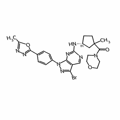 Cc1nnc(-c2ccc(-n3nc(Br)c4cnc(N[C@@H]5CCC(C)(C(=O)N6CCOCC6)C5)nc43)cc2)o1